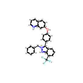 FC(F)(F)c1cccc2c(-c3ccc(Oc4ccc5cccnc5c4)cc3)n(Cc3ccccc3)nc12